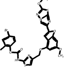 COc1cc(OCc2csc(NC(=O)Oc3ccc(Br)cc3C)n2)c2cc(-c3cn4nc(OC)sc4n3)oc2c1